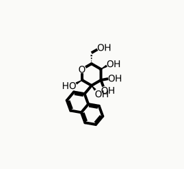 OC[C@H]1O[C@H](O)[C@@](O)(c2cccc3ccccc23)C(O)(O)[C@@H]1O